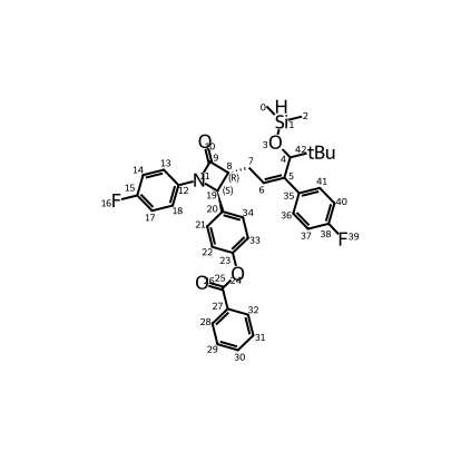 C[SiH](C)OC(C(=CC[C@H]1C(=O)N(c2ccc(F)cc2)[C@@H]1c1ccc(OC(=O)c2ccccc2)cc1)c1ccc(F)cc1)C(C)(C)C